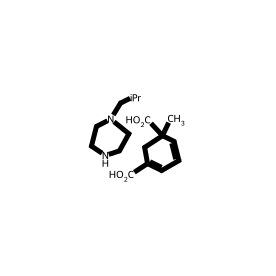 CC(C)CN1CCNCC1.CC1(C(=O)O)C=CC=C(C(=O)O)C1